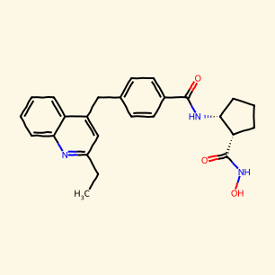 CCc1cc(Cc2ccc(C(=O)N[C@@H]3CCC[C@@H]3C(=O)NO)cc2)c2ccccc2n1